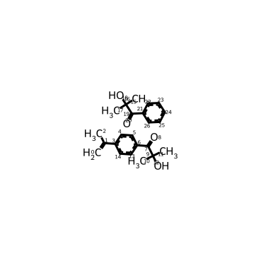 C=C(C)c1ccc(C(=O)C(C)(C)O)cc1.CC(C)(O)C(=O)c1ccccc1